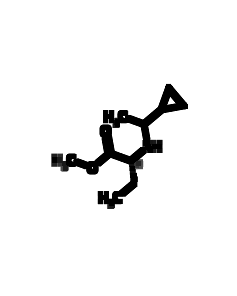 CC[C@@H](NC(C)C1CC1)C(=O)OC